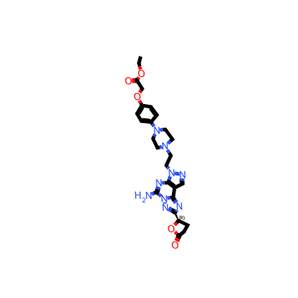 CCOC(=O)COc1ccc(N2CCN(CCn3ncc4c3nc(N)n3nc([C@H]5CCC(=O)O5)nc43)CC2)cc1